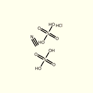 C#N.Cl.O=S(=O)(O)O.O=S(=O)(O)O